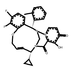 Cc1ccccc1[C@H]1c2ccc(F)c(F)c2OC/C=C/[C@@H](C2CC2)N2CN1n1ccc(=O)c(O)c1C2=O